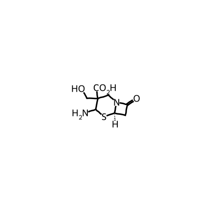 NC1S[C@@H]2CC(=O)N2CC1(CO)C(=O)O